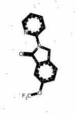 O=C1c2cc(OC(F)(F)F)ccc2CN1c1ccccn1